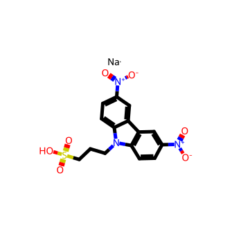 O=[N+]([O-])c1ccc2c(c1)c1cc([N+](=O)[O-])ccc1n2CCCS(=O)(=O)O.[Na]